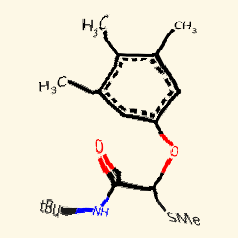 CSC(Oc1cc(C)c(C)c(C)c1)C(=O)NC(C)(C)C